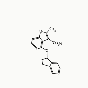 Cc1oc2cccc(OC3CCc4ccccc43)c2c1C(=O)O